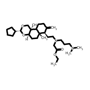 C=C1CCC2[C@]3(C)CO[C@@H](C4CCCC4)O[C@@H]3CC[C@@]2(C)[C@@H]1CCN(CCCN(C)C)CC(=O)OCC